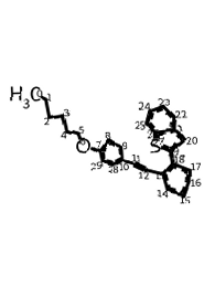 CCCCCCOc1ccc(C#Cc2ccccc2-c2cc3ccccc3s2)cc1